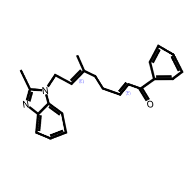 C/C(=C\Cn1c(C)nc2ccccc21)CC/C=C/C(=O)c1ccccc1